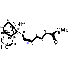 COC(=O)CCC/C=C\C[C@@H]1[C@H](CO)[C@H]2CC[C@@H]1O2